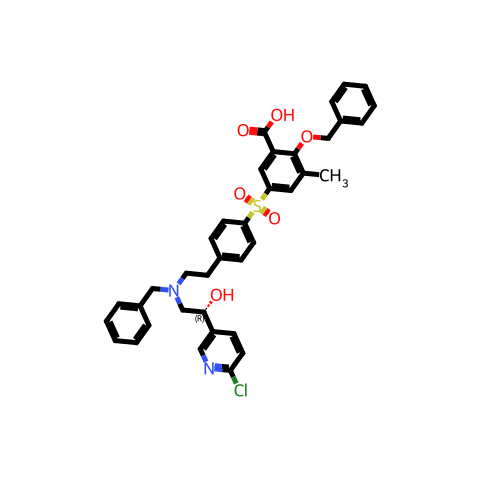 Cc1cc(S(=O)(=O)c2ccc(CCN(Cc3ccccc3)C[C@H](O)c3ccc(Cl)nc3)cc2)cc(C(=O)O)c1OCc1ccccc1